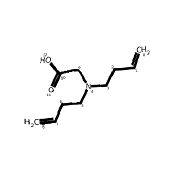 C=CCCN(CCC=C)CC(=O)O